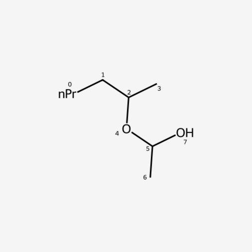 CCCCC(C)OC(C)O